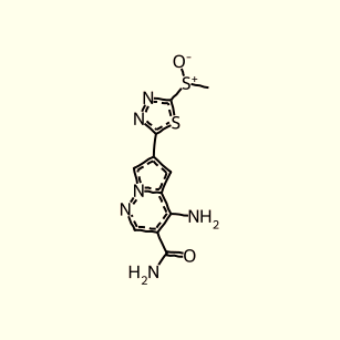 C[S+]([O-])c1nnc(-c2cc3c(N)c(C(N)=O)cnn3c2)s1